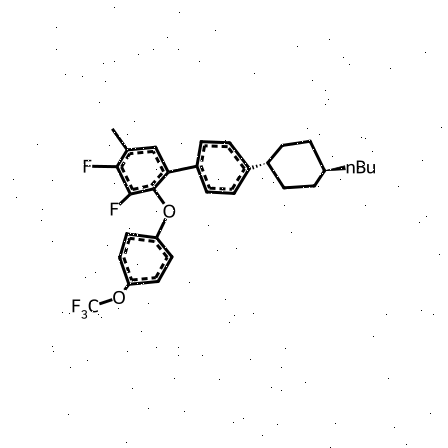 CCCC[C@H]1CC[C@H](c2ccc(-c3cc(C)c(F)c(F)c3Oc3ccc(OC(F)(F)F)cc3)cc2)CC1